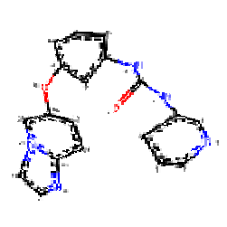 O=C(Nc1cccnc1)Nc1cccc(Oc2ccc3n[c]cn3c2)c1